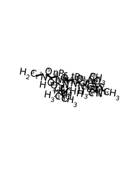 C=CCNC(=O)C(=O)C(CCC)NC(=O)[C@@H]1[C@@H]2[C@H](CN1C(=O)[C@@H](NC(=O)N[C@H](CN(C)S(=O)(=O)c1sc(C)nc1C)C(C)(C)C)C(C)(C)C)C2(C)C